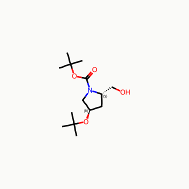 CC(C)(C)OC(=O)N1C[C@H](OC(C)(C)C)C[C@H]1CO